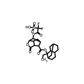 CCC1(OC(=O)C2C3CC4C(OC(=O)C42)C3OC(=O)C(F)(F)S(=O)(=O)O)C2CCC3CCC(C2)CC31